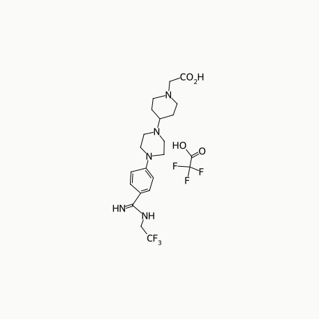 N=C(NCC(F)(F)F)c1ccc(N2CCN(C3CCN(CC(=O)O)CC3)CC2)cc1.O=C(O)C(F)(F)F